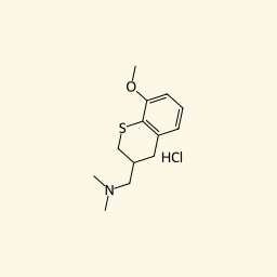 COc1cccc2c1SCC(CN(C)C)C2.Cl